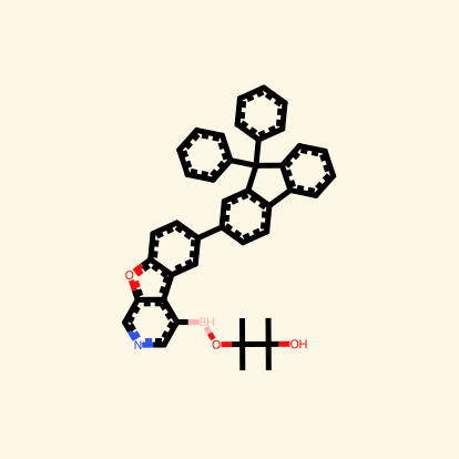 CC(C)(O)C(C)(C)OBc1cncc2oc3ccc(-c4ccc5c(c4)C(c4ccccc4)(c4ccccc4)c4ccccc4-5)cc3c12